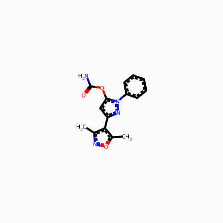 Cc1noc(C)c1-c1cc(OC(N)=O)n(-c2ccccc2)n1